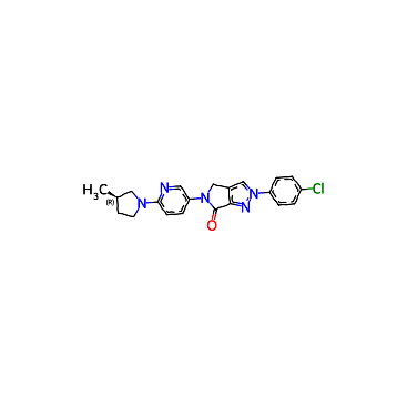 C[C@@H]1CCN(c2ccc(N3Cc4cn(-c5ccc(Cl)cc5)nc4C3=O)cn2)C1